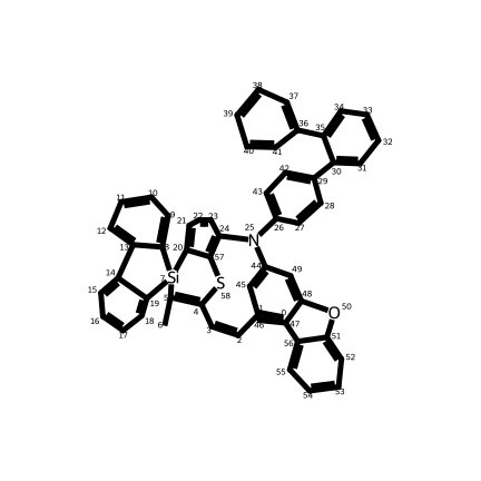 C=C/C=C\C1=C(C)[Si]2(c3ccccc3-c3ccccc32)c2cccc(N(c3ccc(-c4ccccc4-c4ccccc4)cc3)c3ccc4c(c3)oc3ccccc34)c2S1